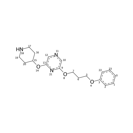 c1ccc(OCCCOc2cncc(OC3CCNCC3)n2)cc1